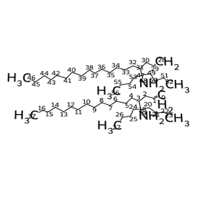 C=CCC(CCCCCCCCCCCCCC)C(N)(CCCC)CCCC.C=CCC(CCCCCCCCCCCCCCC)C(N)(CCCC)CCCC